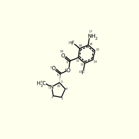 CN1CCC[C@H]1C(=O)OC(=O)c1c(F)ccc(N)c1F